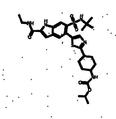 CCNC(=O)c1cc2cc(-c3cnc(C4CCC(NC(=O)OC(C)C)CC4)s3)c(S(=O)(=O)NC(C)(C)C)cc2[nH]1